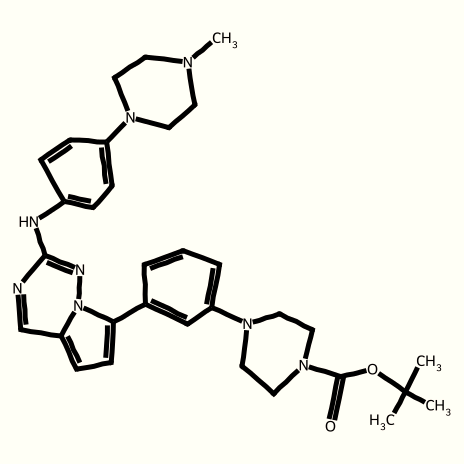 CN1CCN(c2ccc(Nc3ncc4ccc(-c5cccc(N6CCN(C(=O)OC(C)(C)C)CC6)c5)n4n3)cc2)CC1